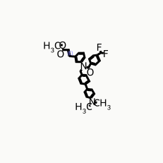 COC(=O)/C=C/c1cccc(N(Cc2ccc(-c3ccc(N(C)C)cc3)cc2)C(=O)c2ccc(C(F)F)cc2)c1